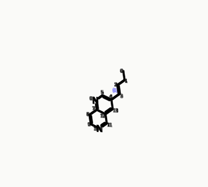 CC/C=C/c1cnc2ccncc2c1